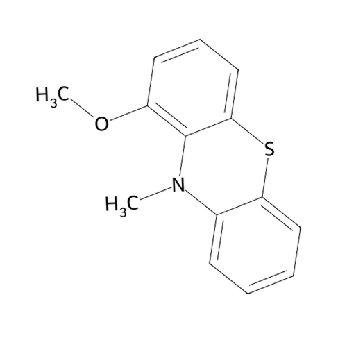 COc1cccc2c1N(C)c1ccccc1S2